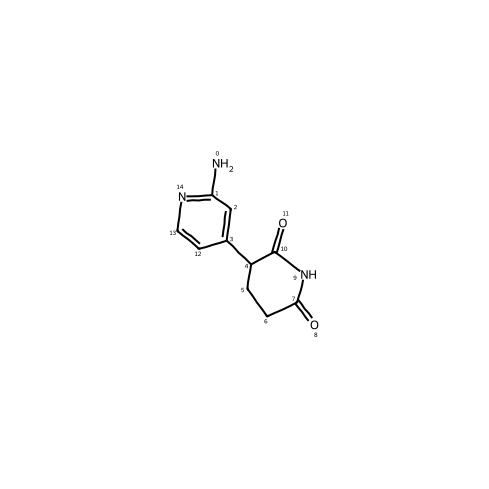 Nc1cc(C2CCC(=O)NC2=O)ccn1